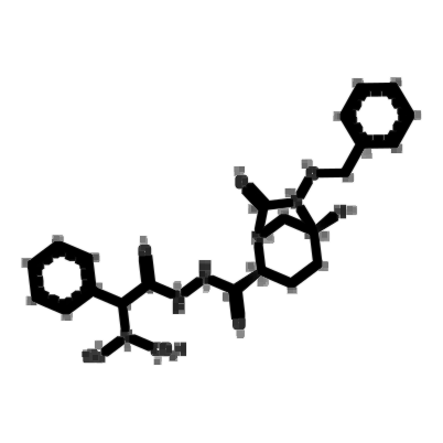 CC(C)(C)N(C(=O)O)C(C(=O)NNC(=O)[C@@H]1CC[C@@H]2CN1C(=O)N2OCc1ccccc1)c1ccccc1